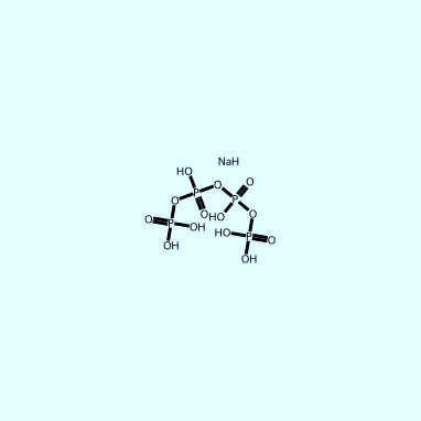 O=P(O)(O)OP(=O)(O)OP(=O)(O)OP(=O)(O)O.[NaH]